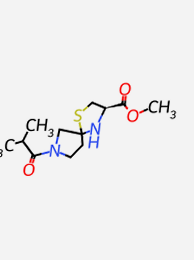 COC(=O)[C@@H]1CSC2(CCN(C(=O)C(C)C)C2)N1